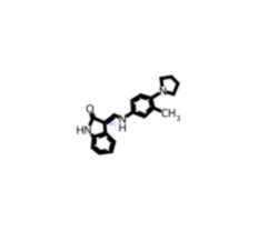 Cc1cc(N/C=C2/C(=O)Nc3ccccc32)ccc1N1CCCC1